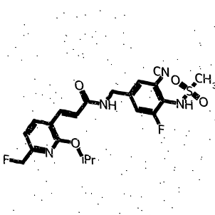 CC(C)Oc1nc(CF)ccc1/C=C/C(=O)NCc1cc(F)c(NS(C)(=O)=O)c(C#N)c1